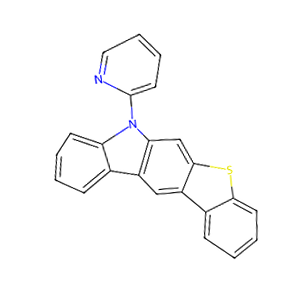 c1ccc(-n2c3ccccc3c3cc4c(cc32)sc2ccccc24)nc1